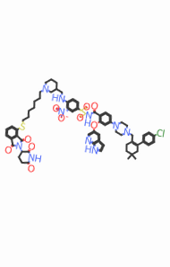 CC1(C)CCC(CN2CCN(c3ccc(C(=O)NS(=O)(=O)c4ccc(NCC5CCCN(CCCCCCCSc6cccc7c6C(=O)N(C6CCC(=O)NC6=O)C7=O)C5)c([N+](=O)[O-])c4)c(Oc4cnc5[nH]ccc5c4)c3)CC2)=C(c2ccc(Cl)cc2)C1